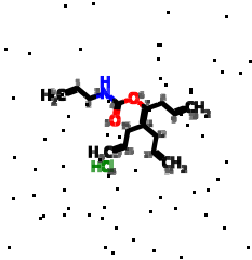 C=CCNC(=O)OC(CC=C)=C(CC=C)CC=C.Cl